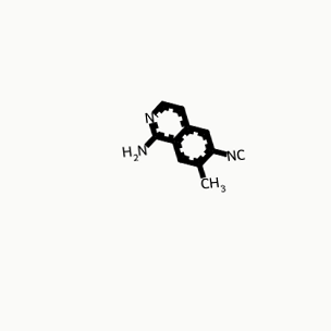 [C-]#[N+]c1cc2ccnc(N)c2cc1C